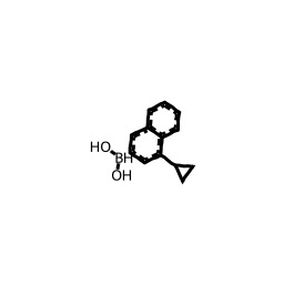 OBO.c1ccc2c(C3CC3)cccc2c1